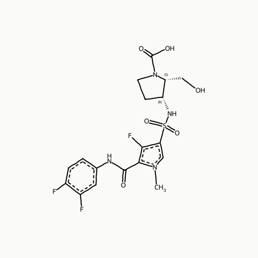 Cn1cc(S(=O)(=O)N[C@@H]2CCN(C(=O)O)[C@@H]2CO)c(F)c1C(=O)Nc1ccc(F)c(F)c1